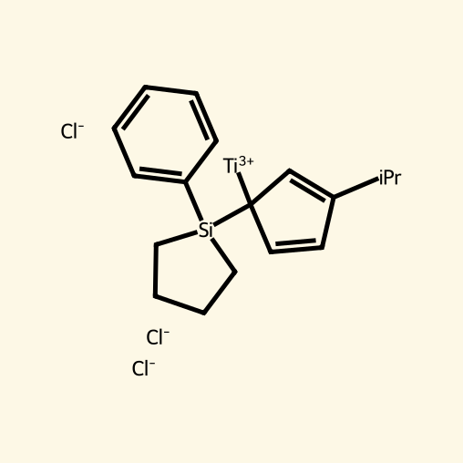 CC(C)C1=C[C]([Ti+3])([Si]2(c3ccccc3)CCCC2)C=C1.[Cl-].[Cl-].[Cl-]